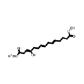 CCCCCC(O)CC=C(O)CCC=CCC=CCCCC(=O)OO